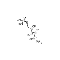 NC[C@H](O)[C@@H](O)[C@H](O)[C@H](O)COP(=O)(O)O